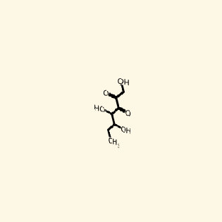 CCC(O)C(O)C(=O)C(=O)CO